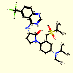 CCN(C(C)C)[C@@H]1CCC(N2CC[C@H](Nc3ncnc4ccc(C(F)(F)F)cc34)C2=O)[C@@H](CS(=O)(=O)C(C)C)C1